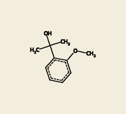 COc1ccccc1C(C)(C)O